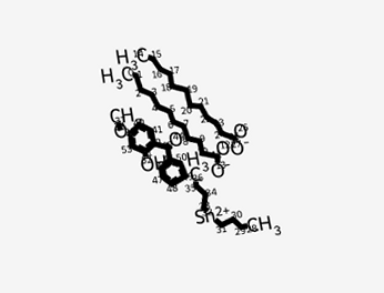 CCCCCCCCCCCC(=O)[O-].CCCCCCCCCCCC(=O)[O-].CCC[CH2][Sn+2][CH2]CCC.COc1ccc(C(=O)c2ccccc2)c(O)c1